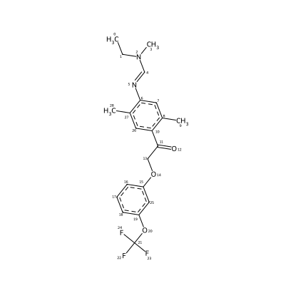 CCN(C)C=Nc1cc(C)c(C(=O)COc2cccc(OC(F)(F)F)c2)cc1C